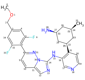 COCc1cc(F)c(-c2ccc3cnc(Nc4cnccc4[C@@H]4C[C@H](C)C[C@H](N)C4)n3n2)c(F)c1